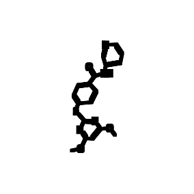 COc1cc(OC)nc(Sc2ccc(C(=O)Nc3cccnc3)cc2)n1